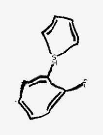 Fc1cc[c]cc1[SH]1C=CC=C1